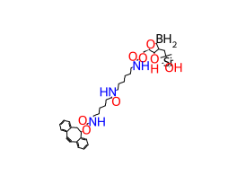 B[C@@H]1O[C@H](COC(=O)NCCCCCCNC(=O)CCCCCNC(=O)OC2Cc3ccccc3C#Cc3ccccc32)[C@H](O)C1CC(C)(C)[Si](C)(C)O